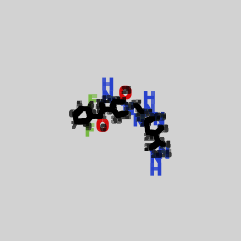 O=C(c1c(F)cccc1F)c1c[nH]c2c(=O)n(Cc3nc4cc(-c5cn[nH]c5)cnc4[nH]3)ccc12